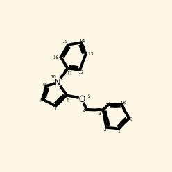 c1ccc(COc2cccn2-c2ccccc2)cc1